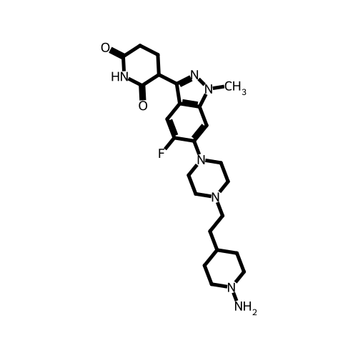 Cn1nc(C2CCC(=O)NC2=O)c2cc(F)c(N3CCN(CCC4CCN(N)CC4)CC3)cc21